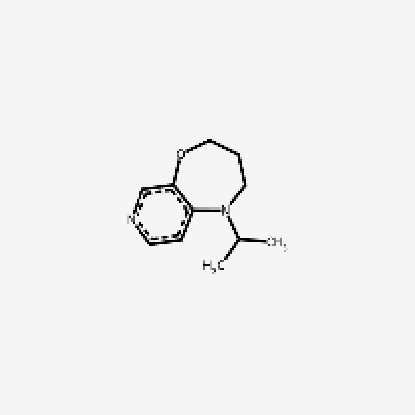 CC(C)N1CCCOc2cnccc21